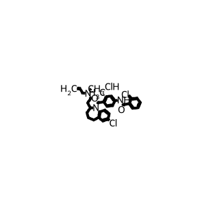 C=CCN(C)CCC1CCCc2cc(Cl)ccc2N1C(=O)c1ccc(NC(=O)c2ccccc2Cl)cc1C.Cl